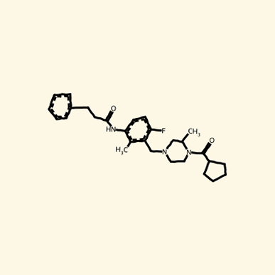 Cc1c(NC(=O)CCc2ccccc2)ccc(F)c1CN1CCN(C(=O)C2CCCC2)C(C)C1